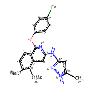 COc1ccc2c(Oc3ccc(F)cc3)nc(Nc3cc(C)[nH]n3)cc2c1OC